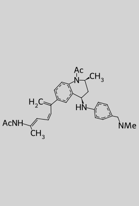 C=C(/C=C\C=C(/C)NC(C)=O)c1ccc2c(c1)[C@H](Nc1ccc(CNC)cc1)C[C@H](C)N2C(C)=O